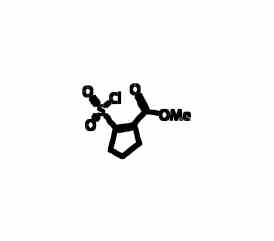 COC(=O)C1=C(S(=O)(=O)Cl)CCC1